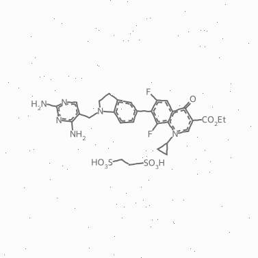 CCOC(=O)c1cn(C2CC2)c2c(F)c(-c3ccc4c(c3)CCN4Cc3cnc(N)nc3N)c(F)cc2c1=O.O=S(=O)(O)CCS(=O)(=O)O